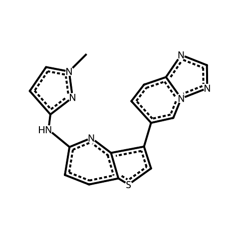 Cn1ccc(Nc2ccc3scc(-c4ccc5ncnn5c4)c3n2)n1